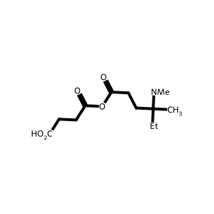 CCC(C)(CCC(=O)OC(=O)CCC(=O)O)NC